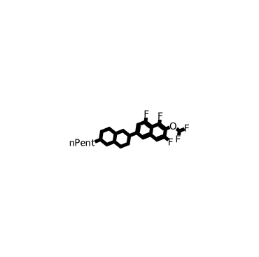 CCCCCC1CCC2CC(c3cc(F)c4c(F)c(OC(F)F)c(F)cc4c3)CCC2C1